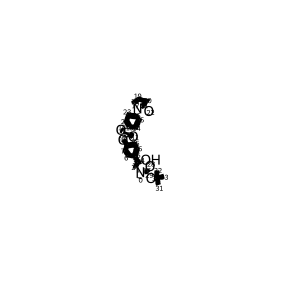 CN(CC(O)c1ccc(OS(=O)(=O)c2ccc(N3CCCC3=O)cc2)cc1)C(=O)OC(C)(C)C